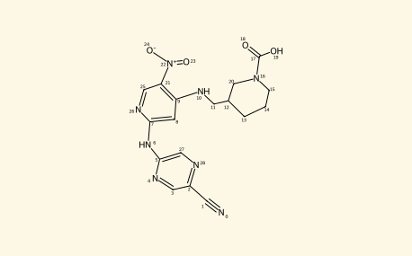 N#Cc1cnc(Nc2cc(NCC3CCCN(C(=O)O)C3)c([N+](=O)[O-])cn2)cn1